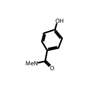 CNC(=O)c1c[c]c(O)cc1